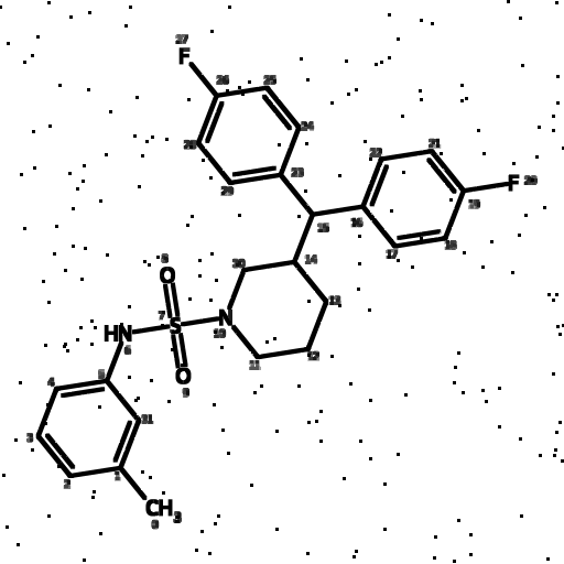 Cc1cccc(NS(=O)(=O)N2CCCC(C(c3ccc(F)cc3)c3ccc(F)cc3)C2)c1